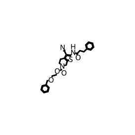 N#Cc1c(NC(=O)CCc2ccccc2)sc2c1CCN(C(=O)OCCOCc1ccccc1)C2